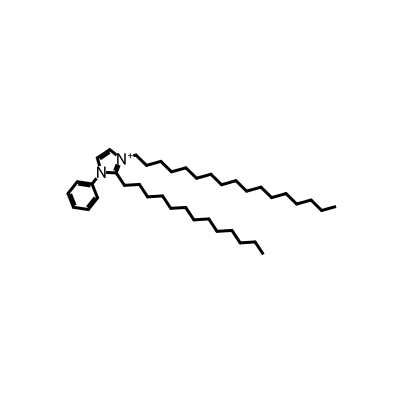 CCCCCCCCCCCCCCCCC[n+]1ccn(-c2ccccc2)c1CCCCCCCCCCCCC